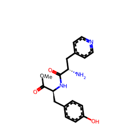 COC(=O)[C@H](Cc1ccc(O)cc1)NC(=O)[C@@H](N)Cc1ccncc1